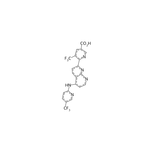 O=C(O)c1cnc(-c2ccc3c(Nc4ccc(C(F)(F)F)cn4)ccnc3n2)c(C(F)(F)F)c1